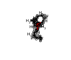 CC[C@H](C)[C@@H]1NC(=O)CNC(=O)[C@@H]2Cc3c([nH]c4cc(OCc5ccc(NC(=O)[C@H](C)NC(=O)[C@@H](NC(=O)CCN6C(=O)C=CC6=O)C(C)C)cc5)ccc34)SCC(NC(=O)CNC1=O)C(=O)N[C@@H](CC(N)=O)C(=O)N1C[C@H](O)C[C@]1(C=O)N[C@@H]([C@@H](C)[C@@H](O)CO)C(=O)N2